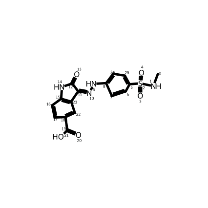 CNS(=O)(=O)c1ccc(NN=C2C(=O)Nc3ccc(C(=O)O)cc32)cc1